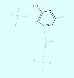 F[B-](F)(F)F.F[B-](F)(F)F.F[B-](F)(F)F.Oc1cc(F)ccc1F